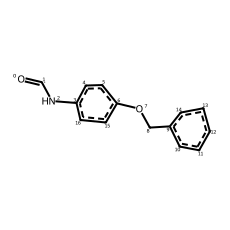 O=[C]Nc1ccc(OCc2ccccc2)cc1